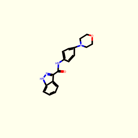 O=C(Nc1ccc(N2CCOCC2)cc1)c1n[nH]c2ccccc12